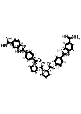 N=C(N)c1ccc2nc(-c3ccc(NC(=O)[C@H]4CCCN4C(=O)[C@H]4CCCN4C(=O)c4ccc(-c5nc6ccc(C(=N)N)cc6[nH]5)cc4)cc3)[nH]c2c1